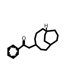 O=C(CC1CCC[C@@H]2CCCC(CC1)CC2)c1ccccc1